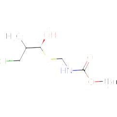 CC(CCl)[C@@H](O)SCNC(=O)OC(C)(C)C